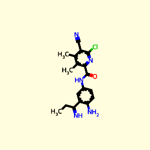 CCC(=N)c1cc(NC(=O)c2nc(Cl)c(C#N)c(C)c2C)ccc1N